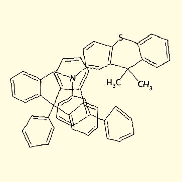 CC1(C)c2ccccc2Sc2ccc(N(Cc3ccccc3C3(c4ccccc4)c4ccccc4-c4ccccc43)c3cccc(-c4ccccc4)c3)cc21